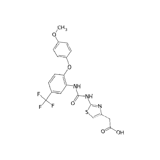 COc1ccc(Oc2ccc(C(F)(F)F)cc2NC(=O)Nc2nc(CC(=O)O)cs2)cc1